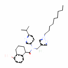 CCCCCCCCCn1cc(CN(C(=O)C2CCCc3c(O)cccc32)c2ccc(C(C)C)nc2)cn1.Cl